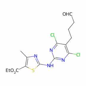 CCOC(=O)c1sc(Nc2nc(Cl)c(CCCC=O)c(Cl)n2)nc1C